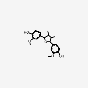 COc1cc(C2OC(c3ccc(O)c(OC)c3)C(C)C2C)ccc1O